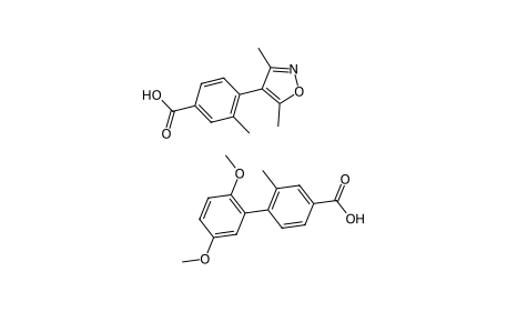 COc1ccc(OC)c(-c2ccc(C(=O)O)cc2C)c1.Cc1cc(C(=O)O)ccc1-c1c(C)noc1C